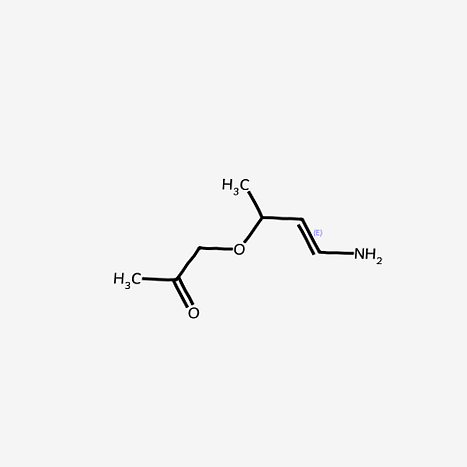 CC(=O)COC(C)/C=C/N